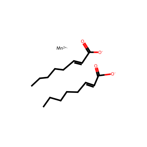 CCCCCC=CC(=O)[O-].CCCCCC=CC(=O)[O-].[Mn+2]